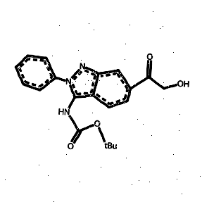 CC(C)(C)OC(=O)Nc1c2ccc(C(=O)CO)cc2nn1-c1ccccc1